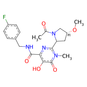 CO[C@@H]1CC(c2nc(C(=O)NCc3ccc(F)cc3)c(O)c(=O)n2C)N(C(C)=O)C1